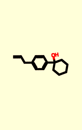 C=CCc1ccc(C2(O)CCCCC2)cc1